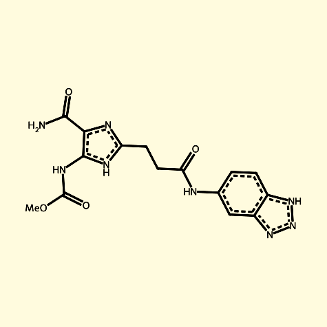 COC(=O)Nc1[nH]c(CCC(=O)Nc2ccc3[nH]nnc3c2)nc1C(N)=O